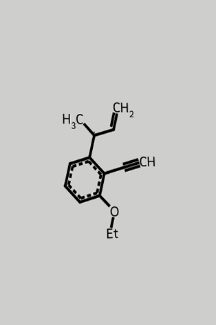 C#Cc1c(OCC)cccc1[C](C)C=C